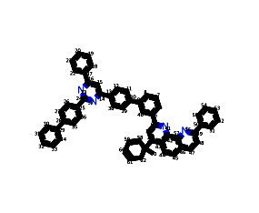 CC1(c2cc(-c3cccc(-c4ccc(-c5cc(-c6ccccc6)nc(-c6ccc(-c7ccccc7)cc6)n5)cc4)c3)nc3c2ccc2ccc(-c4ccccc4)nc23)C=CC#CC1